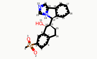 CS(=O)(=O)c1ccc2c(c1)[C@H](O)[C@@H]([C@@H]1c3ccccc3-c3cncn31)CC2